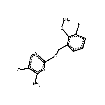 COc1c(F)cccc1COc1ncc(F)c(N)n1